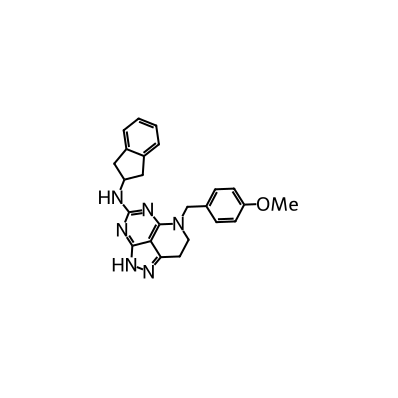 COc1ccc(CN2CCc3n[nH]c4nc(NC5Cc6ccccc6C5)nc2c34)cc1